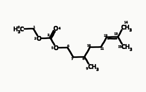 CCOC(=O)OCCC(C)CCC=C(C)C